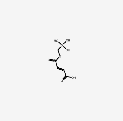 O=C(O)C=CC(=O)OC[Si](O)(O)O